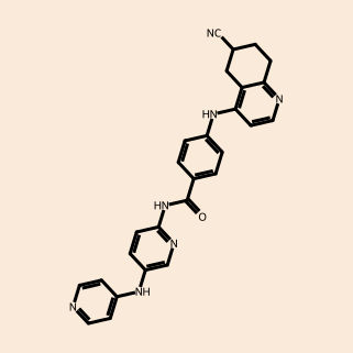 N#CC1CCc2nccc(Nc3ccc(C(=O)Nc4ccc(Nc5ccncc5)cn4)cc3)c2C1